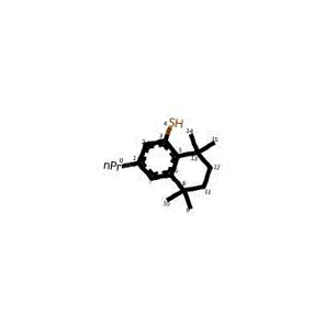 CCCc1[c]c(S)c2c(c1)C(C)(C)CCC2(C)C